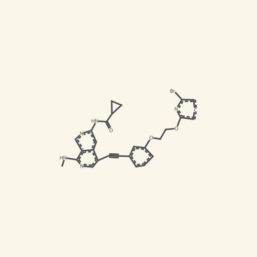 CNc1ncc(C#Cc2cccc(OCCOc3cccc(Br)n3)c2)c2cc(NC(=O)C3CC3)ncc12